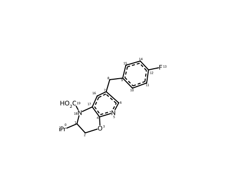 CC(C)C1COc2ncc(Cc3ccc(F)cc3)cc2N1C(=O)O